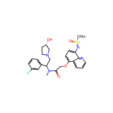 CO[SH](=O)=Nc1ccc(OCC(=O)N(C)C(CN2CC[C@H](O)C2)c2cccc(F)c2)c2cccnc12